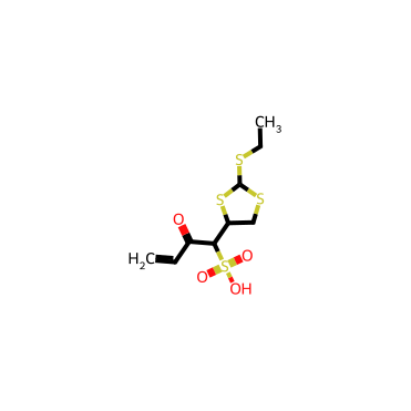 C=CC(=O)C(C1CSC(SCC)S1)S(=O)(=O)O